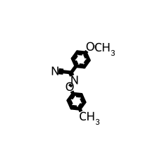 COc1ccc(/C(C#N)=N/Oc2ccc(C)cc2)cc1